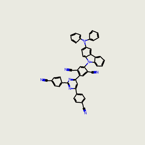 N#Cc1ccc(-c2cc(-c3cc(C#N)c(-n4c5ccccc5c5cc(N(c6ccccc6)c6ccccc6)ccc54)cc3C#N)nc(-c3ccc(C#N)cc3)n2)cc1